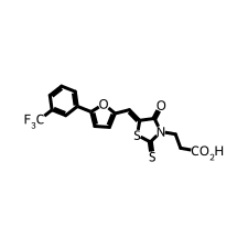 O=C(O)CCN1C(=O)C(=Cc2ccc(-c3cccc(C(F)(F)F)c3)o2)SC1=S